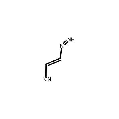 N#CC=CN=N